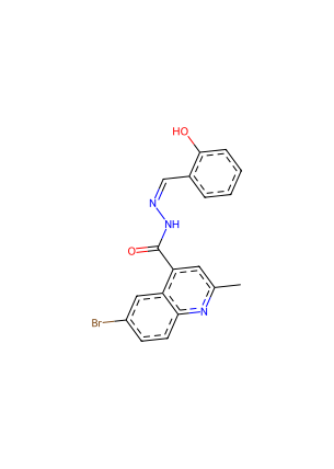 Cc1cc(C(=O)N/N=C\c2ccccc2O)c2cc(Br)ccc2n1